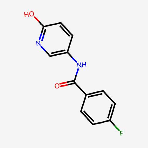 O=C(Nc1ccc(O)nc1)c1ccc(F)cc1